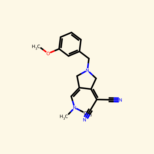 COc1cccc(CN2CC(=C(C#N)C#N)/C(=C\N(C)C)C2)c1